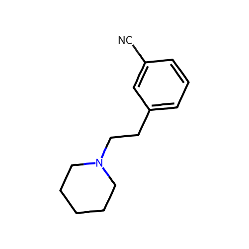 N#Cc1cccc(CCN2CCCCC2)c1